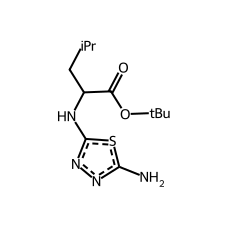 CC(C)CC(Nc1nnc(N)s1)C(=O)OC(C)(C)C